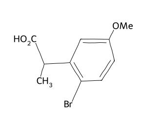 COc1ccc(Br)c(C(C)C(=O)O)c1